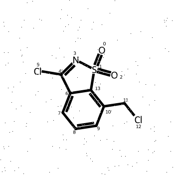 O=S1(=O)N=C(Cl)c2cccc(CCl)c21